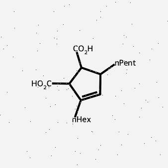 CCCCCCC1=CC(CCCCC)C(C(=O)O)C1C(=O)O